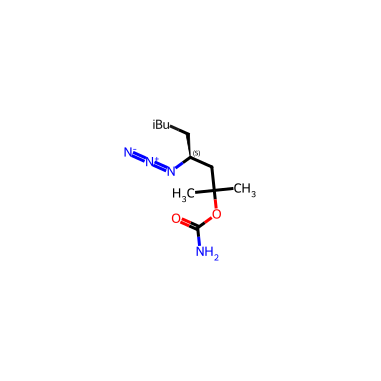 CCC(C)C[C@@H](CC(C)(C)OC(N)=O)N=[N+]=[N-]